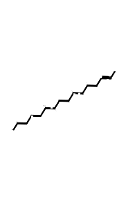 [CH2]C=CCCCCCCCCCCCC[CH2]